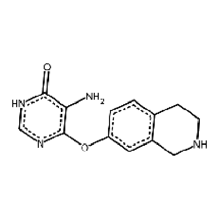 Nc1c(Oc2ccc3c(c2)CNCC3)nc[nH]c1=O